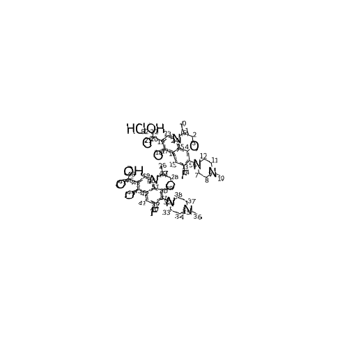 C[C@H]1COc2c(N3CCN(C)CC3)c(F)cc3c(=O)c(C(=O)O)cn1c23.C[C@H]1COc2c(N3CCN(C)CC3)c(F)cc3c(=O)c(C(=O)O)cn1c23.Cl